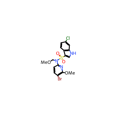 COCN(c1ccc(Br)c(OC)n1)S(=O)(=O)c1c[nH]c2cc(Cl)ccc12